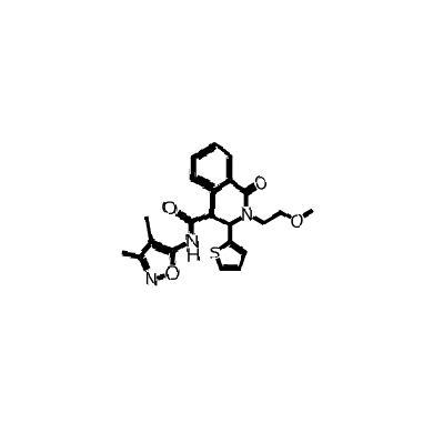 COCCN1C(=O)c2ccccc2C(C(=O)Nc2onc(C)c2C)C1c1cccs1